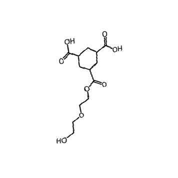 O=C(O)C1CC(C(=O)O)CC(C(=O)OCCOCCO)C1